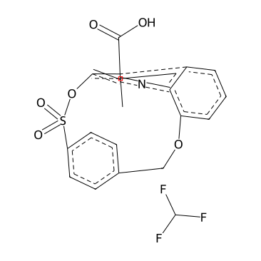 Cc1c2c(C(=O)O)nc3c(cccc13)OCc1ccc(cc1)S(=O)(=O)O2.FC(F)F